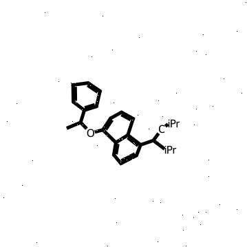 CC(C)CC(c1cccc2c(OC(C)c3ccccc3)cccc12)C(C)C